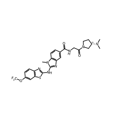 CN(C)[C@H]1CCN(C(=O)CNC(=O)c2ccc3c(c2)nc(Nc2nc4ccc(OC(F)(F)F)cc4s2)n3C)C1